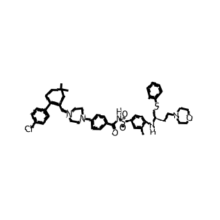 Cc1cc(S(=O)(=O)NC(=O)c2ccc(N3CCN(CC4=C(c5ccc(Cl)cc5)CCC(C)(C)C4)CC3)cc2)ccc1N[C@H](CCN1CCOCC1)CSc1ccccc1